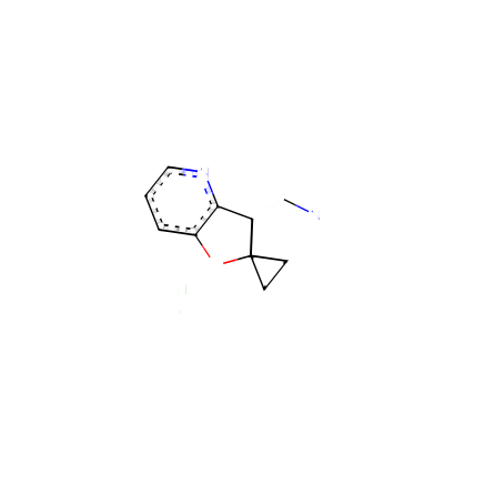 Cl.Cl.NC[C@H]1c2ncccc2OC12CC2